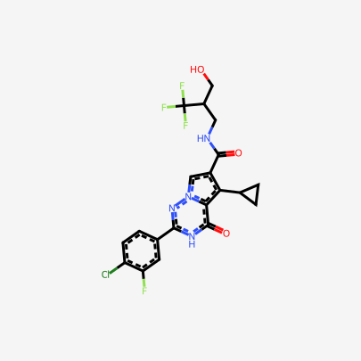 O=C(NCC(CO)C(F)(F)F)c1cn2nc(-c3ccc(Cl)c(F)c3)[nH]c(=O)c2c1C1CC1